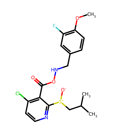 COc1ccc(CNOC(=O)c2c(Cl)ccnc2[S+]([O-])CC(C)C)cc1F